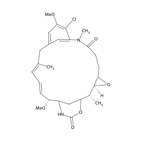 COc1cc2cc(c1Cl)N(C)C(=O)CCC1O[C@H]1[C@H](C)C1CC(NC(=O)O1)[C@H](OC)/C=C/C=C(\C)C2